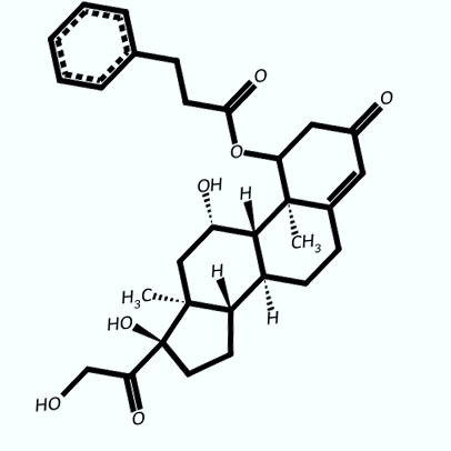 C[C@]12C[C@H](O)[C@H]3[C@@H](CCC4=CC(=O)CC(OC(=O)CCc5ccccc5)[C@@]43C)[C@@H]1CC[C@]2(O)C(=O)CO